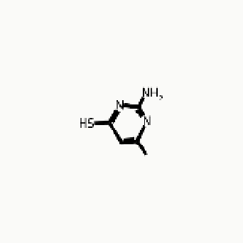 Cc1cc(S)nc(N)n1